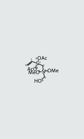 C=C[Si](C[Si](CO)(OC)OC)(OC(C)=O)OC(C)=O